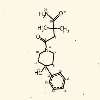 CC(C)(CC(=O)N1CCC(O)(c2ccccc2)CC1)C(N)=O